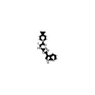 C[C@@H](Nc1nnc(-c2c[nH]c3ncccc23)o1)C(=O)N1CCC2(CC1)CC2